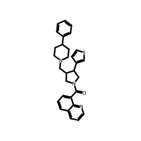 O=C(c1cccc2cccnc12)N1CC(CN2CCC(c3ccccc3)CC2)C(c2ccsc2)C1